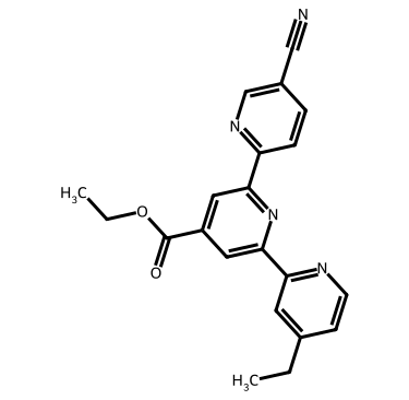 CCOC(=O)c1cc(-c2ccc(C#N)cn2)nc(-c2cc(CC)ccn2)c1